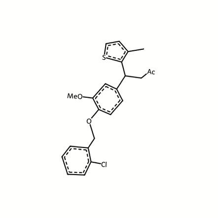 COc1cc(C(CC(C)=O)c2sccc2C)ccc1OCc1ccccc1Cl